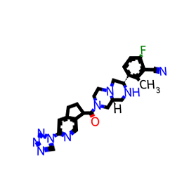 Cc1c([C@H]2CN3CCN(C(=O)C4CCc5cc(-n6cnnn6)ncc54)C[C@@H]3CN2)ccc(F)c1C#N